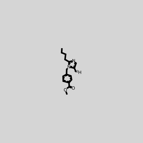 [2H][CH]c1cnc(CCCC)n1Cc1ccc(C(=O)OC)cc1